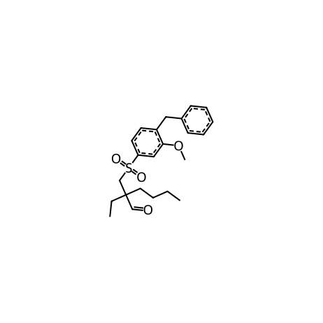 CCCCC(C=O)(CC)CS(=O)(=O)c1ccc(Cc2ccccc2)c(OC)c1